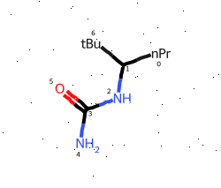 [CH2]CCC(NC(N)=O)C(C)(C)C